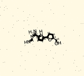 N=C/N=C(/N)c1ccc(C2CC[C@@H](CO)O2)[nH]1